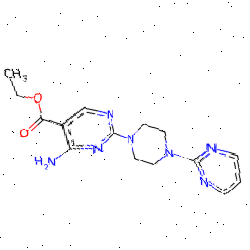 CCOC(=O)c1cnc(N2CCN(c3ncccn3)CC2)nc1N